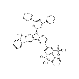 CC1(C)c2ccccc2-c2cc3c4cc(-c5cc(S(=O)(=O)O)c(-c6ncccn6)c(S(=O)(=O)O)c5)ccc4n(-c4cc(-c5ccccc5)nc(-c5ccccc5)n4)c3cc21